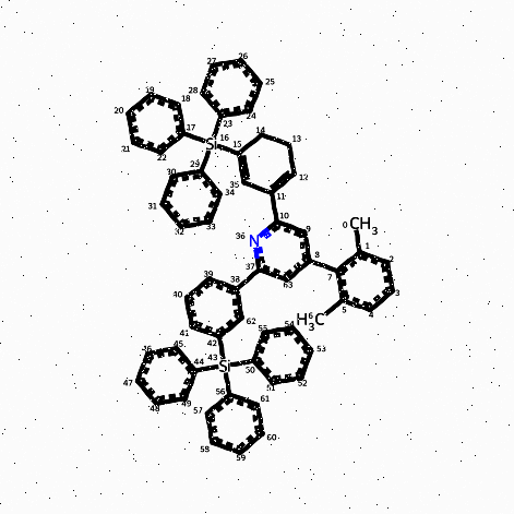 Cc1cccc(C)c1-c1cc(C2=CCCC([Si](c3ccccc3)(c3ccccc3)c3ccccc3)=C2)nc(-c2cccc([Si](c3ccccc3)(c3ccccc3)c3ccccc3)c2)c1